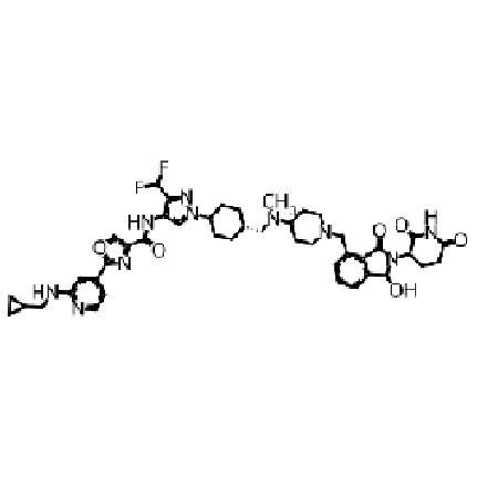 CN(C[C@H]1CC[C@H](n2cc(NC(=O)c3coc(-c4ccnc(NCC5CC5)c4)n3)c(C(F)F)n2)CC1)C1CCN(Cc2cccc3c2C(=O)N(C2CCC(=O)NC2=O)C3O)CC1